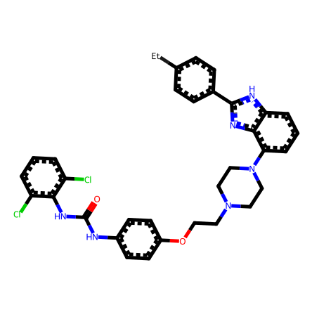 CCc1ccc(-c2nc3c(N4CCN(CCOc5ccc(NC(=O)Nc6c(Cl)cccc6Cl)cc5)CC4)cccc3[nH]2)cc1